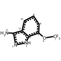 Nc1n[nH]c2c(OC(F)(F)F)cccc12